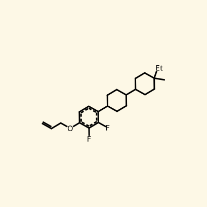 C=CCOc1ccc(C2CCC(C3CCC(C)(CC)CC3)CC2)c(F)c1F